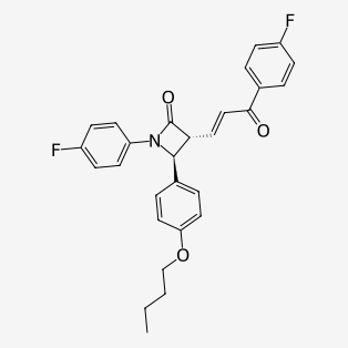 CCCCOc1ccc([C@@H]2[C@@H](/C=C/C(=O)c3ccc(F)cc3)C(=O)N2c2ccc(F)cc2)cc1